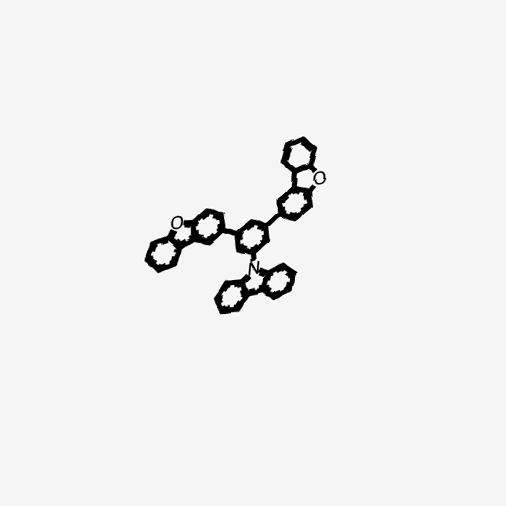 C1=CC2Oc3ccc(-c4cc(-c5ccc6oc7ccccc7c6c5)cc(-n5c6ccccc6c6ccccc65)c4)cc3C2C=C1